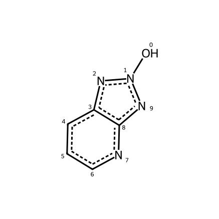 On1nc2cccnc2n1